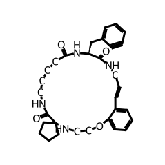 O=C1CCCCNC(=O)C2(CCCC2)NCCOc2ccccc2/C=C/CNC(=O)[C@H](Cc2c#cccc2)N1